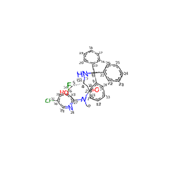 CN(C(=O)[C@H](CO)NC(c1ccccc1)(c1ccccc1)c1ccccc1)c1ncc(Cl)cc1F